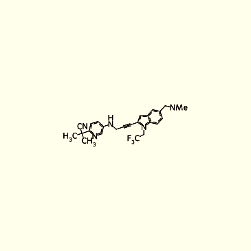 CNCc1ccc2c(c1)cc(C#CCNc1ccc(C(C)(C)C#N)nc1)n2CC(F)(F)F